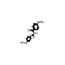 CCCCOc1ccc(C(CC)NC(=O)Oc2ccc(OC)cc2)cc1